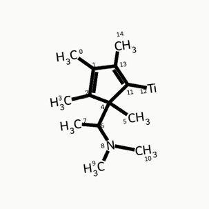 CC1=C(C)C(C)(C(C)N(C)C)[C]([Ti])=C1C